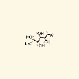 C[C@H](O)[C@@H](O)[C@@H](O)[C@@H](O)C=O